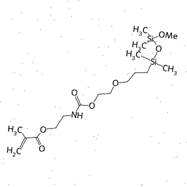 C=C(C)C(=O)OCCNC(=O)OCCOCCC[Si](C)(C)O[Si](C)(C)OC